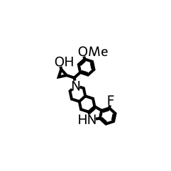 COc1cccc(C(C2CC2O)N2CCC3Cc4[nH]c5cccc(F)c5c4CC3C2)c1